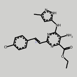 CCOC(=O)c1nc(/C=C/c2ccc(Cl)cc2)nc(Nc2cc(C)n[nH]2)c1N